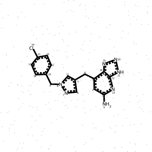 Nc1cc(Cc2cnn(Cc3ccc(Cl)cc3)c2)c2nn[nH]c2n1